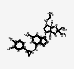 CCO[C@H]1C[C@@H](n2nnc3c(C[C@@H]4C[C@H]4c4ccc(F)c(F)c4)nc(C)nc32)[C@@H]2OC(C)(C)O[C@@H]21